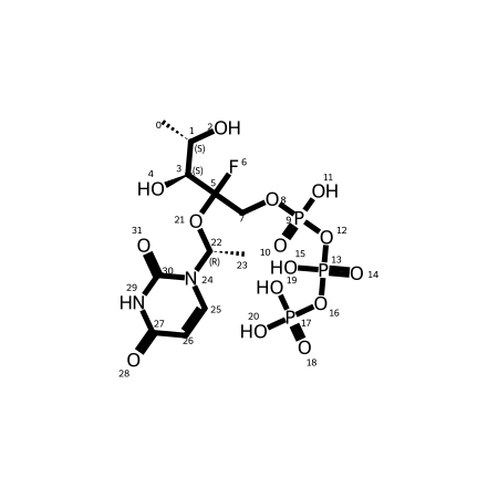 C[C@H](O)[C@H](O)C(F)(COP(=O)(O)OP(=O)(O)OP(=O)(O)O)O[C@H](C)n1ccc(=O)[nH]c1=O